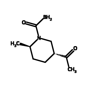 BC(=O)N1C[C@H](C(C)=O)CC[C@H]1C